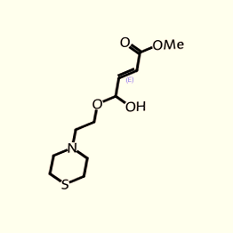 COC(=O)/C=C/C(O)OCCN1CCSCC1